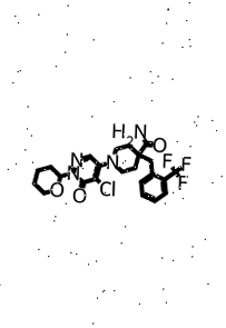 NC(=O)C1(Cc2ccccc2C(F)(F)F)CCN(c2cnn(C3CCCCO3)c(=O)c2Cl)CC1